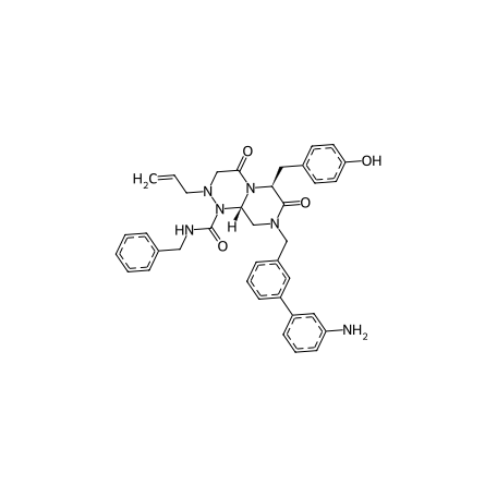 C=CCN1CC(=O)N2[C@@H](Cc3ccc(O)cc3)C(=O)N(Cc3cccc(-c4cccc(N)c4)c3)C[C@@H]2N1C(=O)NCc1ccccc1